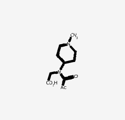 CC(=O)C(=O)N(CC(=O)O)C1CCN(C)CC1